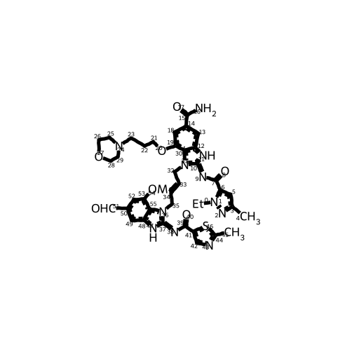 CCn1nc(C)cc1C(=O)/N=c1\[nH]c2cc(C(N)=O)cc(OCCCN3CCOCC3)c2n1C/C=C/Cn1/c(=N\C(=O)c2cnc(C)s2)[nH]c2cc(C=O)cc(OC)c21